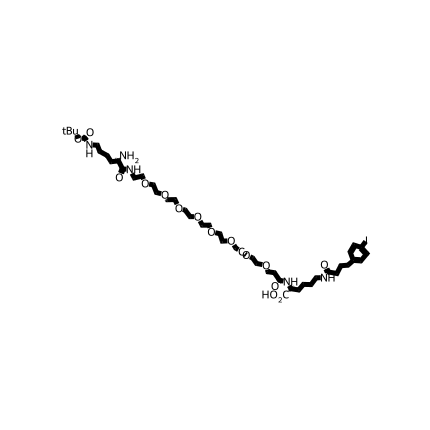 CC(C)(C)OC(=O)NCCCC[C@H](N)C(=O)NCCOCCOCCOCCOCCOCCOCCOCCOCCC(=O)N[C@@H](CCCCNC(=O)CCCc1ccc(I)cc1)C(=O)O